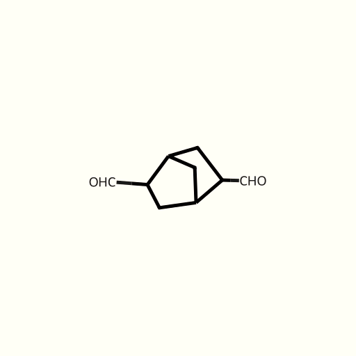 O=CC1CC2CC1CC2C=O